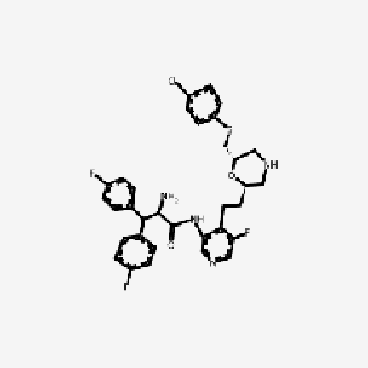 NC(C(=O)Nc1cncc(F)c1CC[C@@H]1CNC[C@@H](CSc2ccc(Cl)cc2)O1)C(c1ccc(F)cc1)c1ccc(F)cc1